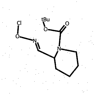 CC(C)(C)OC(=O)N1CCCCC1C=NOCl